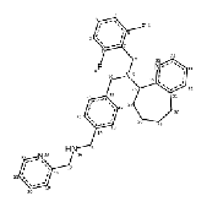 Fc1cccc(F)c1CN(Cc1ccc(CNCc2ccccn2)cc1)C1CCCCc2cccnc21